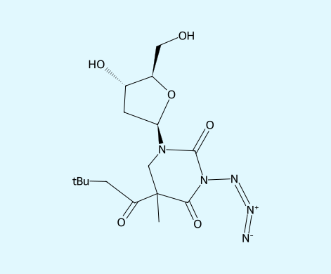 CC(C)(C)CC(=O)C1(C)CN([C@H]2C[C@H](O)[C@@H](CO)O2)C(=O)N(N=[N+]=[N-])C1=O